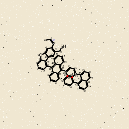 C/C=C\c1cc2oc3cccc(-c4c5ccccc5c(-c5ccc(-c6cccc7cccc(-c8ccccc8)c67)cc5)c5ccccc45)c3c2cc1CS